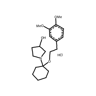 COc1ccc(CCOC2(N3CCC(O)C3)CCCCC2)cc1OC.Cl